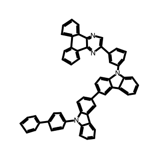 c1ccc(-c2ccc(-n3c4ccccc4c4cc(-c5ccc6c(c5)c5ccccc5n6-c5cccc(-c6cnc7c8ccccc8c8ccccc8c7n6)c5)ccc43)cc2)cc1